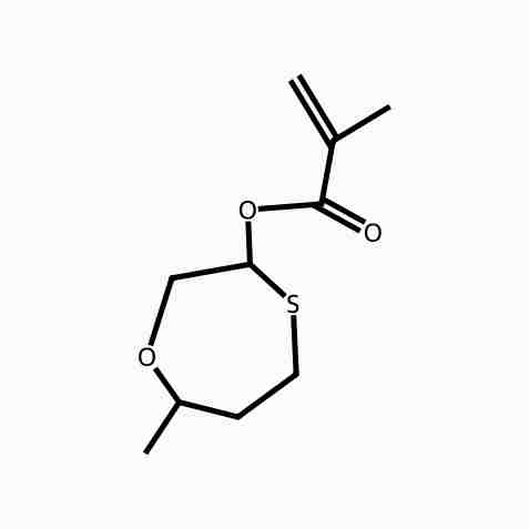 C=C(C)C(=O)OC1COC(C)CCS1